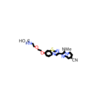 CNc1c(-c2cn3c(n2)sc2cc(OCCOCCNC(=O)O)ccc23)nc2cc(C#N)ccn12